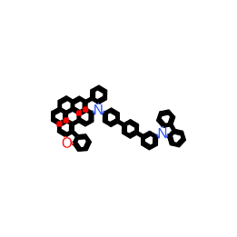 c1cc(-c2ccc(-c3ccc(N(c4ccc(-c5cccc6oc7ccccc7c56)cc4)c4ccccc4-c4ccc5c(ccc6ccccc65)c4)cc3)cc2)cc(-n2c3ccccc3c3ccccc32)c1